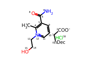 CCCCCCCCCCCC(=O)[O-].Cc1c(C(N)=O)ccc[n+]1CCO.Cl